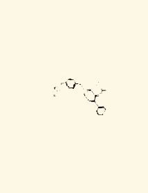 C[C@@H](NS(C)(=O)=O)c1ccc(CN2CCC(c3ccc(F)cc3)C(OC(F)F)C2)cc1